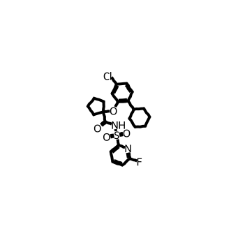 O=C(NS(=O)(=O)c1cccc(F)n1)C1(Oc2cc(Cl)ccc2C2CCCCC2)CCCC1